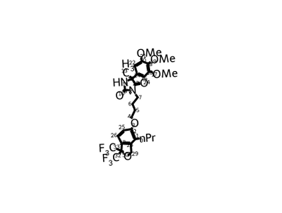 CCCc1c(OCCCCN2C(=O)NC(C)(c3cc(OC)c(OC)c(OC)c3)C2=O)ccc2c1COC2(C(F)(F)F)C(F)(F)F